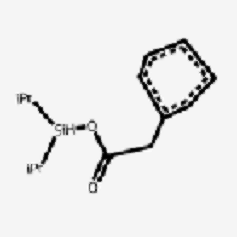 CC(C)[SiH](OC(=O)Cc1ccccc1)C(C)C